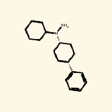 NN(C1CCCCC1)[C@H]1CC[C@@H](c2ccccc2)CC1